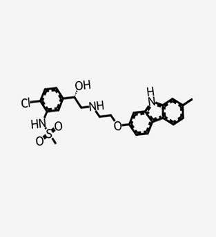 Cc1ccc2c(c1)[nH]c1cc(OCCNC[C@@H](O)c3ccc(Cl)c(NS(C)(=O)=O)c3)ccc12